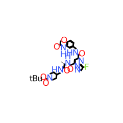 C[C@H](NC(=O)c1cc(C(=O)NCc2ccc3c(c2)NC(=O)CO3)nc2c(F)cnn12)C(=O)NCC1CCN(C(=O)OC(C)(C)C)CC1